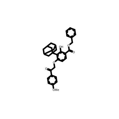 COc1ccc(C(=O)COc2ccc(C(=O)OCc3ccccc3)c(O)c2C23CC4CC(CC(C4)C2)C3)cc1